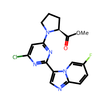 COC(=O)[C@@H]1CCCN1c1cc(Cl)nc(-c2cnc3ccc(F)cn23)n1